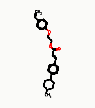 C=Cc1ccc(OCCOC(=O)/C=C/c2ccc(C3CCC(C)CC3)cc2)cc1